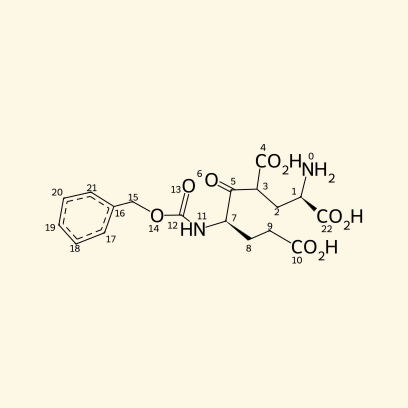 N[C@H](CC(C(=O)O)C(=O)[C@@H](CCC(=O)O)NC(=O)OCc1ccccc1)C(=O)O